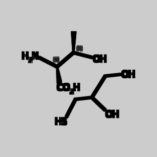 C[C@@H](O)[C@H](N)C(=O)O.OCC(O)CS